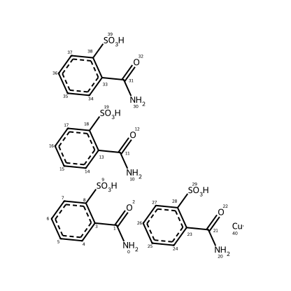 NC(=O)c1ccccc1S(=O)(=O)O.NC(=O)c1ccccc1S(=O)(=O)O.NC(=O)c1ccccc1S(=O)(=O)O.NC(=O)c1ccccc1S(=O)(=O)O.[Cu]